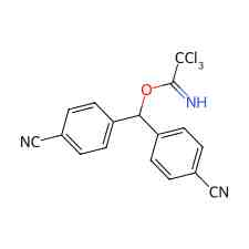 N#Cc1ccc(C(OC(=N)C(Cl)(Cl)Cl)c2ccc(C#N)cc2)cc1